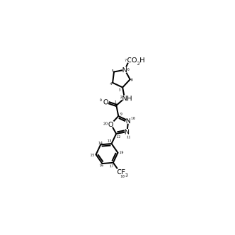 O=C(NC1CCN(C(=O)O)C1)c1nnc(-c2cccc(C(F)(F)F)c2)o1